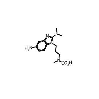 CN(CCCn1c(N(C)C)nc2cc(N)ccc21)C(=O)O